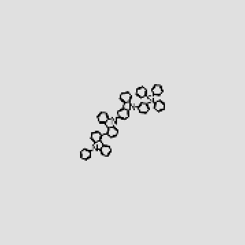 c1ccc(-n2c3ccccc3c3c(-c4cccc5c4c4ccccc4n5-c4ccc5c(c4)c4ccccc4n5-c4cccc([Si](c5ccccc5)(c5ccccc5)c5ccccc5)c4)cccc32)cc1